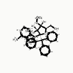 COO[C@]1(C(C)=O)[C@@](OOC)(C(C)=O)[C@@H](CO)O[C@]1(n1cnc2c(N)ncnc21)C(c1ccccc1)(c1ccccc1)c1ccccc1